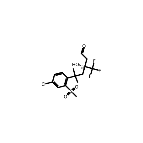 CC(C)(C[C@@](O)(CC=O)C(F)(F)F)c1ccc(Cl)cc1S(C)(=O)=O